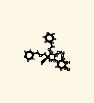 C#CC1(COCc2ccccc2)OC(n2ccc(=O)[nH]c2=O)[C@H](OC(C)=O)[C@@H]1OCc1ccccc1